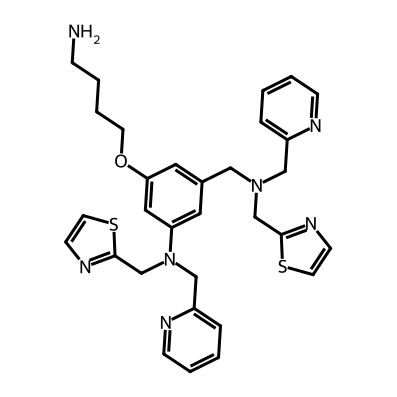 NCCCCOc1cc(CN(Cc2ccccn2)Cc2nccs2)cc(N(Cc2ccccn2)Cc2nccs2)c1